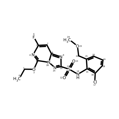 CCOc1nc(F)cc2nc(S(=O)(=O)Nc3c(Cl)cccc3COC)nn12